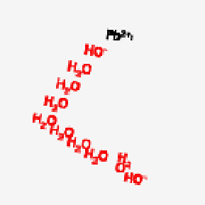 O.O.O.O.O.O.O.O.[OH-].[OH-].[Pb+2]